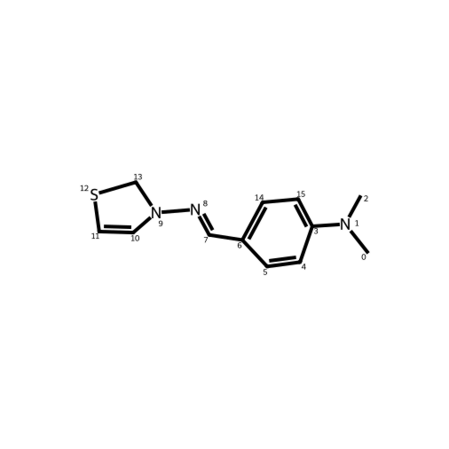 CN(C)c1ccc(C=NN2C=CSC2)cc1